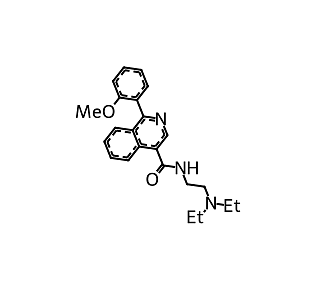 CCN(CC)CCNC(=O)c1cnc(-c2ccccc2OC)c2ccccc12